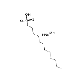 CCCCCCCCCCCCS(=O)(=O)O.[Mn].[NaH]